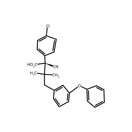 CC(C)(Cc1cccc(Oc2ccccc2)c1)[C@](C#N)(C(=O)O)c1ccc(Cl)cc1